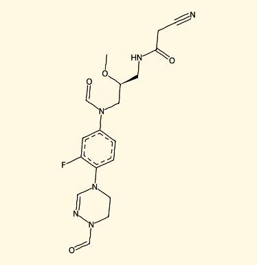 CO[C@@H](CNC(=O)CC#N)CN(C=O)c1ccc(N2C=NN(C=O)CC2)c(F)c1